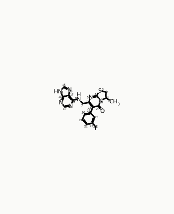 CC1CSc2nc(CNc3ncnc4[nH]cnc34)c(-c3cccc(F)c3)c(=O)n21